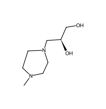 CN1CCN(C[C@H](O)CO)CC1